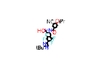 CC(C)Oc1ccc(C(=O)NC(CCO)Cc2c(F)c(F)c(-c3cn(C)c(C(C)(C)C)n3)c(F)c2F)cc1C#N